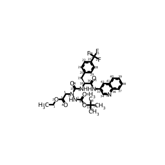 CCOC(=O)CN(NC(=O)OC(C)(C)C)C(=O)N[C@@H](Cc1ccc(C(F)(F)F)cc1)C(=O)Nc1cnc2ccccc2c1